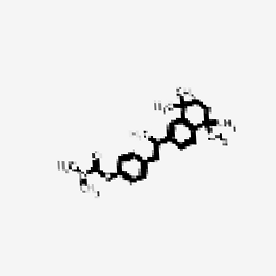 CC(=Cc1ccc(SC(=O)N(C)C)cc1)c1ccc2c(c1)C(C)(C)CCC2(C)C